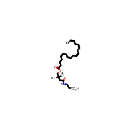 CC/C=C\C/C=C\C/C=C\C/C=C\C/C=C\CCCC(=O)OCC(C)(C)CC(=O)NCCC(=O)O